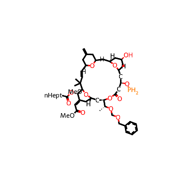 C=C1C[C@H]2C[C@H]3C[C@@H](O)C[C@@H](C[C@@H](OP)CC(=O)O[C@@H]([C@@H](C)OCOCc4ccccc4)C[C@@H]4C/C(=C\C(=O)OC)[C@H](OC(=O)CCCCCCC)[C@@](OC)(O4)C(C)(C)/C=C/[C@@H](C1)O2)O3